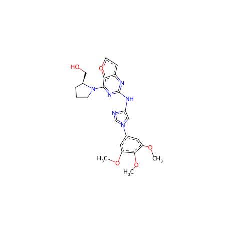 COc1cc(-n2cnc(Nc3nc(N4CCC[C@H]4CO)c4occc4n3)c2)cc(OC)c1OC